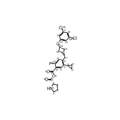 O=C(OC(=O)[C@@H]1CCCN1)c1cc(C2CC2)c(CN2CC(Oc3cc(Cl)cc(Cl)c3)C2)cc1F